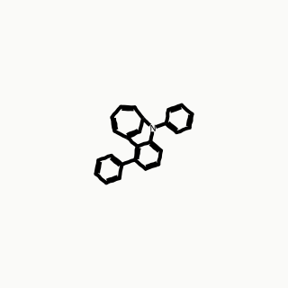 C1=CC2=CC(C=C1)N(c1ccccc1)c1cccc(-c3ccccc3)c12